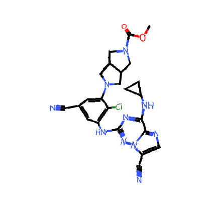 COC(=O)N1CC2CN(c3cc(C#N)cc(Nc4nc(NC5CC5)c5ncc(C#N)n5n4)c3Cl)CC2C1